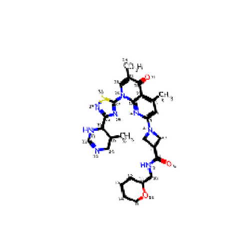 Cc1cc(N2CC(C(=O)NCC3CCCCO3)C2)nc2c1c(=O)c(C(=O)O)cn2-c1nc(C2NC=NCC2C)ns1